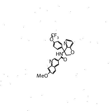 COc1ccc2cc(C(=O)NC3(c4ccc(OC(F)(F)F)cc4)CCOc4cccnc43)cnc2c1